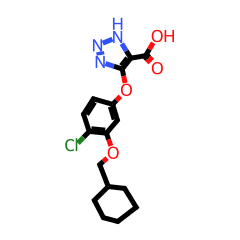 O=C(O)c1[nH]nnc1Oc1ccc(Cl)c(OCC2CCCCC2)c1